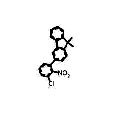 CC1(C)c2ccccc2-c2cc(-c3cccc(Cl)c3[N+](=O)[O-])ccc21